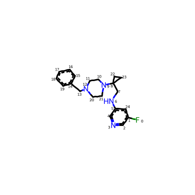 Fc1cncc(NCC2(N3CCN(Cc4ccccc4)CC3)CC2)c1